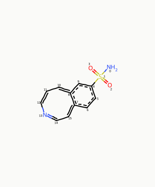 NS(=O)(=O)c1ccc2c(c1)=CC=CN=CC=2